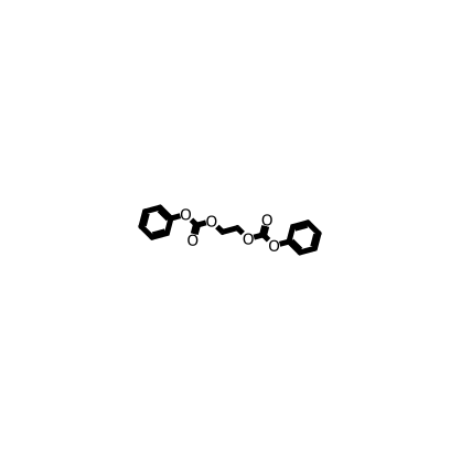 O=C(OCCOC(=O)Oc1ccccc1)Oc1ccccc1